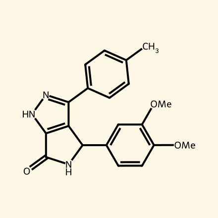 COc1ccc(C2NC(=O)c3[nH]nc(-c4ccc(C)cc4)c32)cc1OC